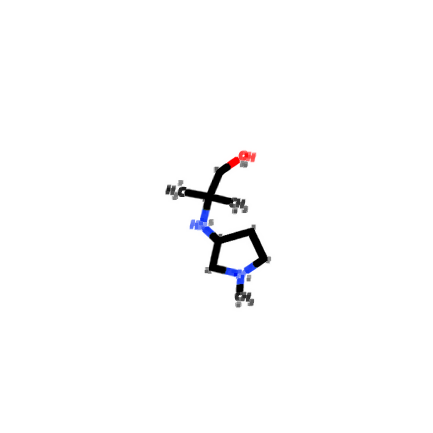 CN1CCC(NC(C)(C)CO)C1